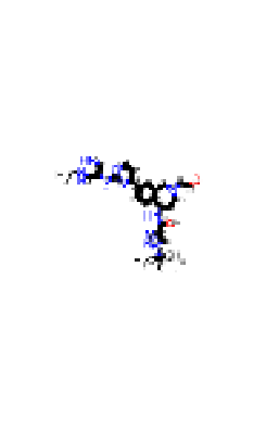 CN/C=C(\C=N)Nc1nccc(-c2ccc3c(c2)CN(CCO)CCC3NC(=O)c2cn(C(C)(C)C)nn2)n1